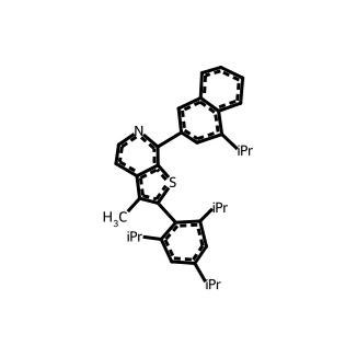 Cc1c(-c2c(C(C)C)cc(C(C)C)cc2C(C)C)sc2c(-c3cc(C(C)C)c4ccccc4c3)nccc12